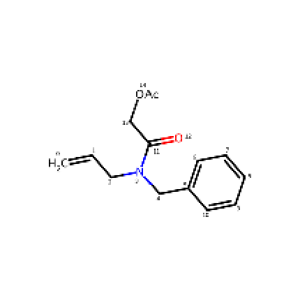 C=CCN(Cc1ccccc1)C(=O)COC(C)=O